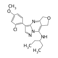 CCC(CC)Nc1c2c(nc3c(-c4ccc(OC)cc4Cl)cnn13)COC2